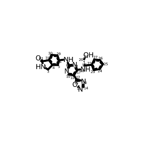 O=C1NCc2cc(Nc3ncc(-c4ncno4)c(N[C@H](CO)c4ccccc4)n3)ccc21